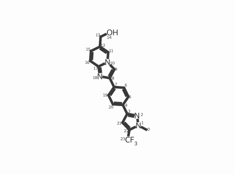 Cn1nc(-c2ccc(-c3cn4cc(CO)ccc4n3)cc2)cc1C(F)(F)F